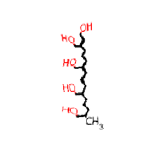 CC(CO)CCCC(CO)CCCC(CO)CCCC(=CCO)CO